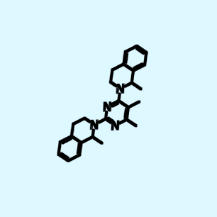 Cc1nc(N2CCc3ccccc3C2C)nc(N2CCc3ccccc3C2C)c1C